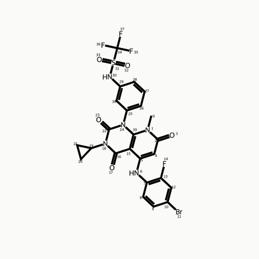 Cn1c(=O)cc(Nc2ccc(Br)cc2F)c2c(=O)n(C3CC3)c(=O)n(-c3cccc(NS(=O)(=O)C(F)(F)F)c3)c21